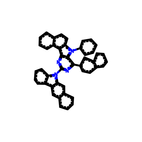 c1ccc(-n2c3ccc4ccccc4c3c3nc(-n4c5ccccc5c5cc6ccccc6cc54)nc(-c4ccc5ccccc5c4)c32)cc1